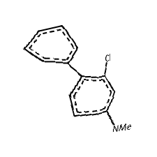 CNc1ccc(-c2ccccc2)c(Cl)c1